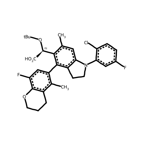 Cc1cc2c(c(-c3cc(F)c4c(c3C)CCCO4)c1[C@H](OC(C)(C)C)C(=O)O)CCN2c1cc(F)ccc1Cl